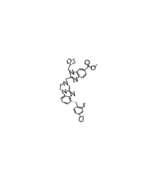 COC(=O)c1ccc2nc(CN3CCn4c(nc5c(Cc6ccc(Cl)cc6F)cccc54)C3)n(CC3CCO3)c2c1